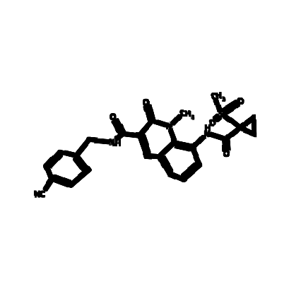 Cn1c(=O)c(C(=O)NCc2ccc(C#N)cc2)cc2cccc(NC(=O)C3(S(C)(=O)=O)CC3)c21